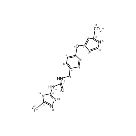 O=C(NCc1ccc(Oc2ccnc(C(=O)O)c2)cc1)Nc1nnc(C(F)(F)F)s1